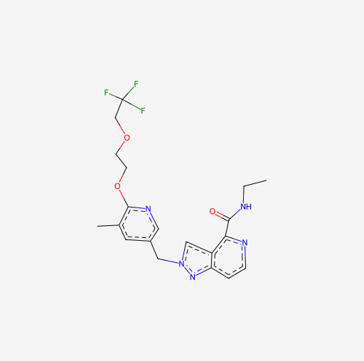 CCNC(=O)c1nccc2nn(Cc3cnc(OCCOCC(F)(F)F)c(C)c3)cc12